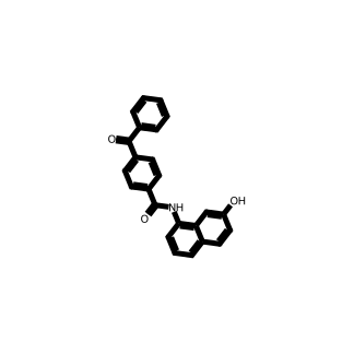 O=C(Nc1cccc2ccc(O)cc12)c1ccc(C(=O)c2ccccc2)cc1